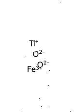 [Fe+3].[O-2].[O-2].[Tl+]